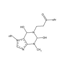 CCCC(=O)CCN1C(O)c2c(ncn2CCC)N(C)C1O